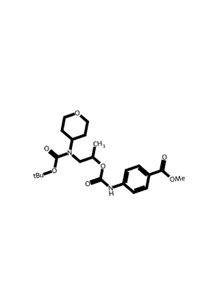 COC(=O)c1ccc(NC(=O)OC(C)CN(C(=O)OC(C)(C)C)C2CCOCC2)cc1